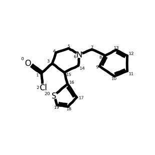 O=C(Cl)C1CCN(Cc2ccccc2)CC1c1cccs1